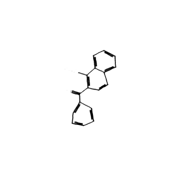 O=Cc1c(C(=O)c2ccccc2)ccc2ccccc12